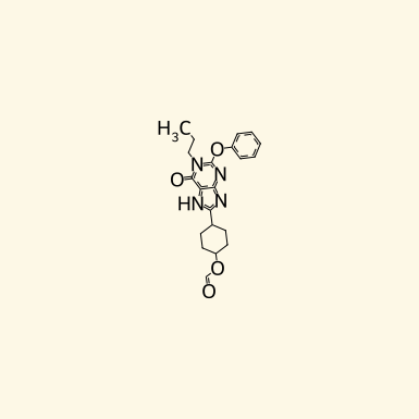 CCCn1c(Oc2ccccc2)nc2nc(C3CCC(OC=O)CC3)[nH]c2c1=O